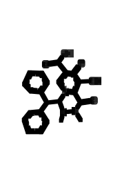 CN1C(=O)c2c(O)c(=O)c(C(=O)O)cn2C(C(c2ccccc2)c2ccccc2)N1C